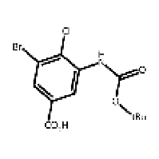 CC(C)(C)OC(=O)Nc1cc(C(=O)O)cc(Br)c1Cl